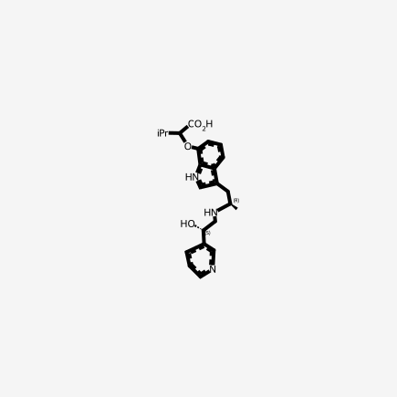 CC(C)C(Oc1cccc2c(C[C@@H](C)NC[C@@H](O)c3cccnc3)c[nH]c12)C(=O)O